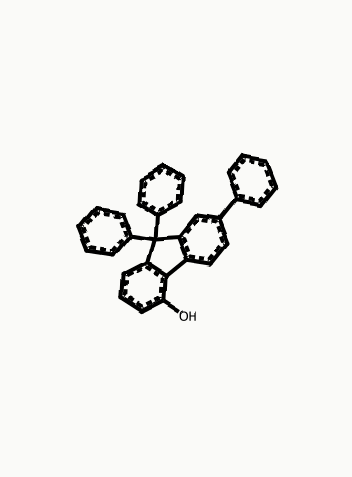 Oc1cccc2c1-c1ccc(-c3ccccc3)cc1C2(c1ccccc1)c1ccccc1